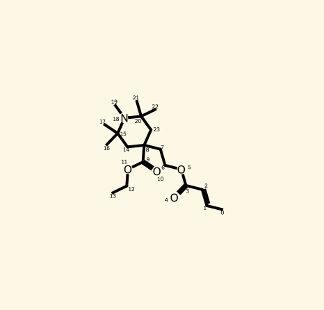 CC=CC(=O)OCCC1(C(=O)OCC)CC(C)(C)N(C)C(C)(C)C1